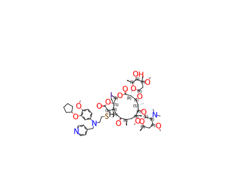 COc1ccc(N(CCS[C@@H]2C(=O)O[C@@]3(C)[C@H]2[C@@H](C)C(=O)[C@H](C)C[C@@](C)(OC)[C@H](O[C@@H]2O[C@H](C)C[C@@H](OC)[C@H]2N(C)C)[C@@H](C)[C@H](O[C@H]2C[C@@](C)(OC)[C@@H](O)[C@H](C)O2)[C@@H](C)C(=O)O[C@@H]3I)Cc2ccncc2)cc1OC1CCCC1